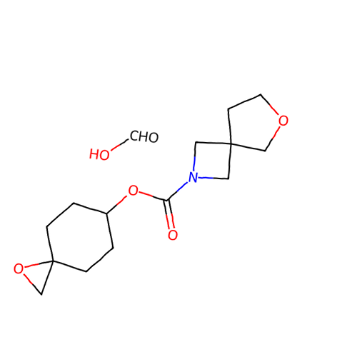 O=C(OC1CCC2(CC1)CO2)N1CC2(CCOC2)C1.O=CO